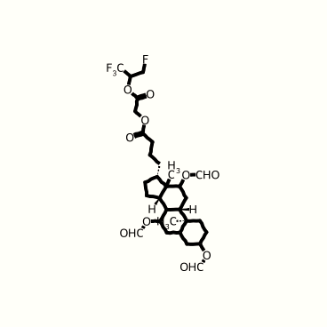 CC12C(OC=O)C[C@H]3C(C(OC=O)CC4CC(OC=O)CC[C@@]43C)[C@@H]1CC[C@@H]2CCCC(=O)OCC(=O)OC(CF)C(F)(F)F